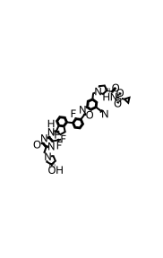 COc1nc(N[C@@H]2CCc3c(-c4cccc(-c5nc6cc(CN7CC[C@@H](C(=O)NS(=O)(=O)C8CC8)C7)cc(C#N)c6o5)c4F)cccc32)c(C(F)(F)F)nc1CN1CC[C@@H](O)C1